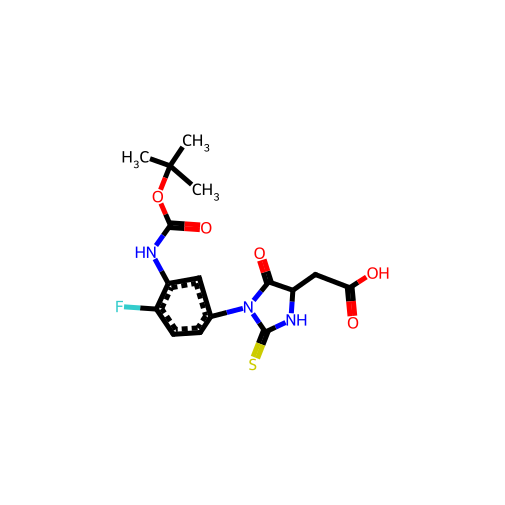 CC(C)(C)OC(=O)Nc1cc(N2C(=O)C(CC(=O)O)NC2=S)ccc1F